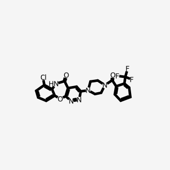 O=C1Nc2c(Cl)cccc2Oc2nnc(N3CCN(C(=O)c4ccccc4C(F)(F)F)CC3)cc21